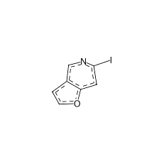 Ic1cc2occc2cn1